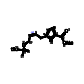 COC(=O)c1ccn(C/C=C\CO[Si](C)(C)C(C)(C)C)n1